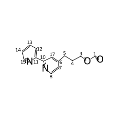 O=COCCCc1ccnc(-c2ccccn2)c1